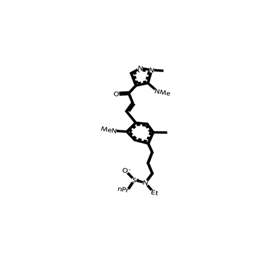 CCC[S+]([O-])N(CC)CCCc1cc(NC)c(/C=C/C(=O)c2cnn(C)c2NC)cc1C